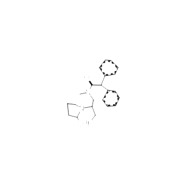 CC(C)CC(CN(C)C(=O)C(c1ccccc1)c1ccccc1)N1CCCC1O